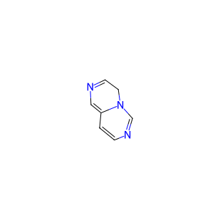 C1=CC2=CN=CCN2C=N1